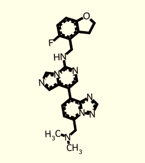 CN(C)Cc1ccc(-c2cnc(NCc3c(F)ccc4c3CCO4)n3cncc23)c2ncnn12